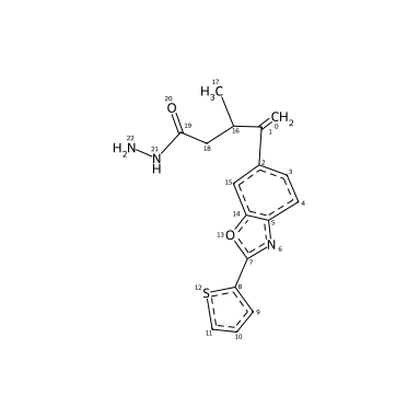 C=C(c1ccc2nc(-c3cccs3)oc2c1)C(C)CC(=O)NN